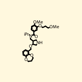 COCCCOc1cc(C(=O)N(CC2CNCC2OCc2cccc3c2OCCCO3)C(C)C)ccc1OC